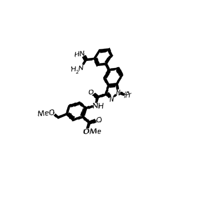 COCc1ccc(NC(=O)c2nn(C(C)C)c3ccc(-c4cccc(C(=N)N)c4)cc23)c(C(=O)OC)c1